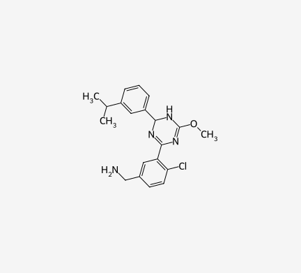 COC1=NC(c2cc(CN)ccc2Cl)=NC(c2cccc(C(C)C)c2)N1